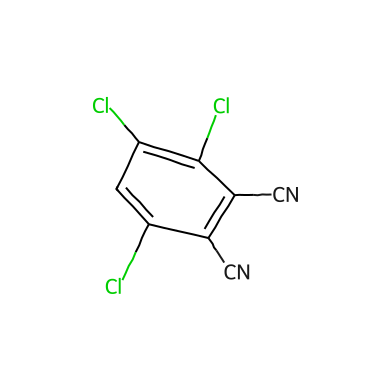 N#Cc1c(Cl)cc(Cl)c(Cl)c1C#N